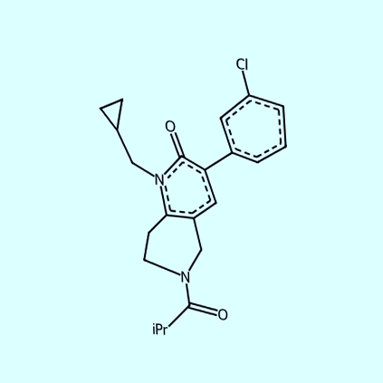 CC(C)C(=O)N1CCc2c(cc(-c3cccc(Cl)c3)c(=O)n2CC2CC2)C1